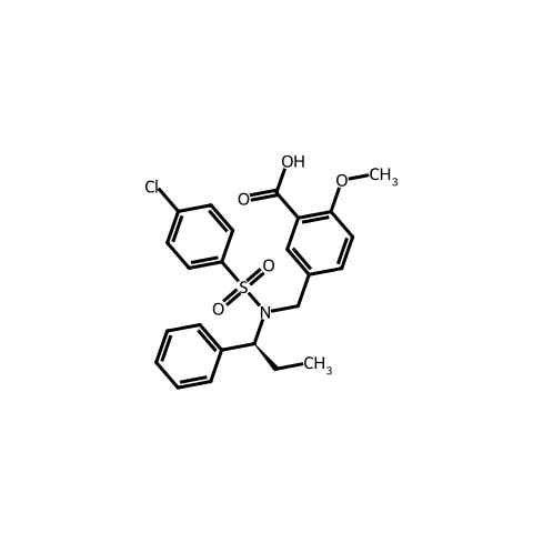 CC[C@@H](c1ccccc1)N(Cc1ccc(OC)c(C(=O)O)c1)S(=O)(=O)c1ccc(Cl)cc1